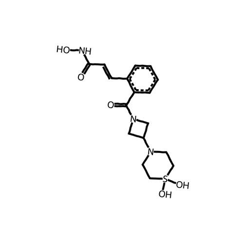 O=C(/C=C/c1ccccc1C(=O)N1CC(N2CCS(O)(O)CC2)C1)NO